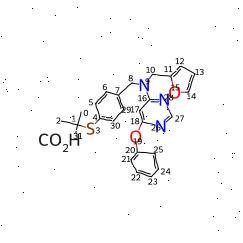 CC(C)(Sc1ccc(CN(Cc2ccco2)c2cc(Oc3ccccc3)ncn2)cc1)C(=O)O